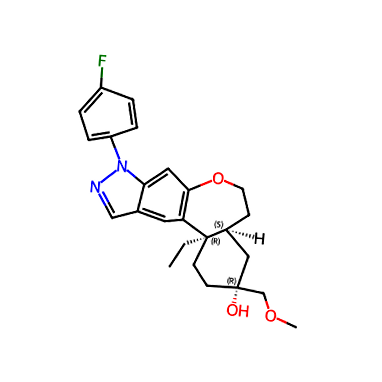 CC[C@@]12CC[C@](O)(COC)C[C@@H]1CCOc1cc3c(cnn3-c3ccc(F)cc3)cc12